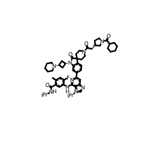 Cc1cc(F)c(Nc2nc(-c3ccc4c(c3)N([C@H]3C[C@@H](N5CCCCC5)C3)C(=O)C43CCN(C(=O)C[C@H]4CCN(C(=O)C5CCCCC5)C4)CC3)cc3ncn(C(C)C)c23)cc1C(=O)NC(C)C